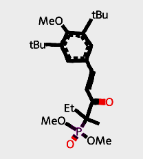 CCC(C)(C(=O)/C=C/c1cc(C(C)(C)C)c(OC)c(C(C)(C)C)c1)P(=O)(OC)OC